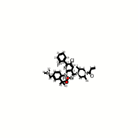 C=CC(=O)N1CC(C)N(/C(=N/[SH]=O)c2cc(Cl)c(-c3ccccc3F)nc2N(C=O)c2ccc(CN(C)C)cc2C(C)(C)C)CC1C